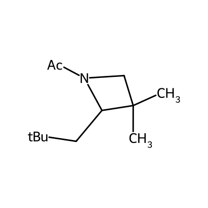 CC(=O)N1CC(C)(C)C1CC(C)(C)C